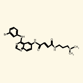 CN(C)CCCNC(=O)C=CC(=O)Nc1ccc2ncnc(Nc3cccc(Br)c3)c2c1